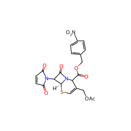 CC(=O)OCC1=CS[C@H]2C(N3C(=O)C=CC3=O)C(=O)N2C1C(=O)OCc1ccc([N+](=O)[O-])cc1